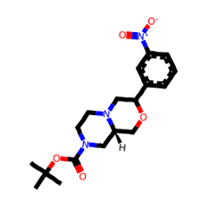 CC(C)(C)OC(=O)N1CCN2CC(c3cccc([N+](=O)[O-])c3)OC[C@@H]2C1